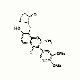 COc1ccc(-c2c(C)oc3c(CC4CCCC4=O)c(O)ccc3c2=O)cc1OC